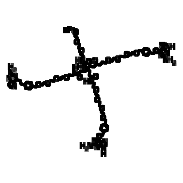 CCCOCCOCCOCCNC(=O)NC(CCC(=O)CCCOCCOCCOCCOCc1ccc(COc2nc(N)nc3[nH]cnc23)cc1)(CCC(=O)NCCOCCOCCOCCOCc1ccc(CCc2nc(N)nc3c2N=CC3)cc1)CCC(=O)NCCOCCOCCOCCOCc1ccc(COc2nc(N)nc3[nH]cnc23)cc1